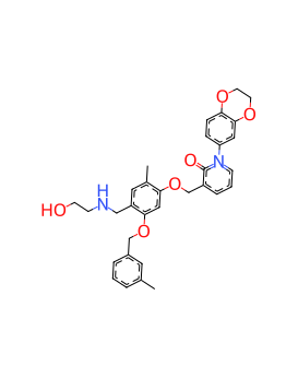 Cc1cccc(COc2cc(OCc3cccn(-c4ccc5c(c4)OCCO5)c3=O)c(C)cc2CNCCO)c1